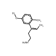 C/C=C(/CCNC(C)=O)c1cc(OCC)ccc1C